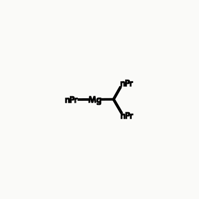 CC[CH2][Mg][CH](CCC)CCC